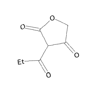 CCC(=O)C1C(=O)COC1=O